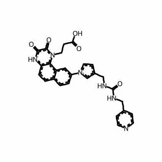 O=C(O)CCn1c(=O)c(=O)[nH]c2ccc3ccc(-n4ccc(CNC(=O)NCc5ccncc5)c4)cc3c21